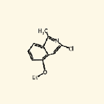 CCOc1cccc2c(C)nc(Cl)cc12